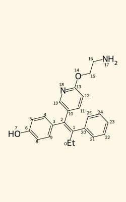 CC/C(=C(\c1ccc(O)cc1)c1ccc(OCCN)nc1)c1ccccc1